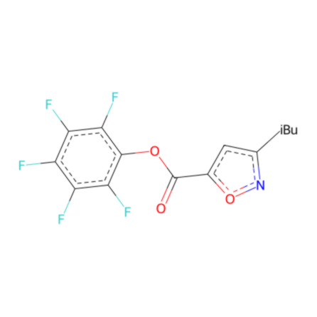 CCC(C)c1cc(C(=O)Oc2c(F)c(F)c(F)c(F)c2F)on1